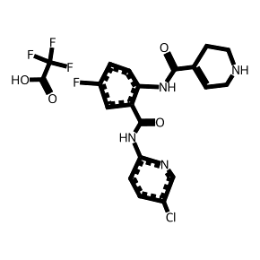 O=C(Nc1ccc(F)cc1C(=O)Nc1ccc(Cl)cn1)C1=CCNCC1.O=C(O)C(F)(F)F